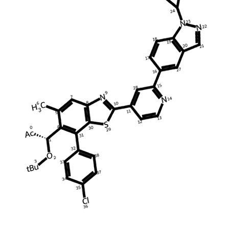 CC(=O)[C@@H](OC(C)(C)C)c1c(C)cc2nc(-c3ccnc(-c4ccc5c(cnn5C5CC5)c4)c3)sc2c1-c1ccc(Cl)cc1